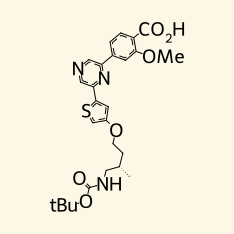 COc1cc(-c2cncc(-c3cc(OCC[C@H](C)CNC(=O)OC(C)(C)C)cs3)n2)ccc1C(=O)O